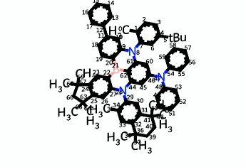 Cc1ccc(C(C)(C)C)cc1N1c2cc(-c3ccccc3)ccc2B2c3cc4c(cc3N(c3cc5c(cc3C)C(C)(C)CCC5(C)C)c3cc(N(c5ccccc5)c5ccccc5)cc1c32)C(C)(C)CC4(C)C